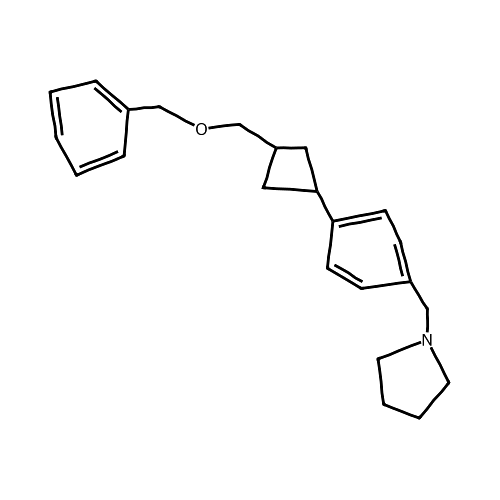 c1ccc(COCC2CC(c3ccc(CN4CCCC4)cc3)C2)cc1